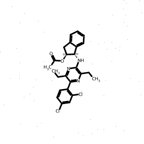 CCc1nc(-c2ccc(Cl)cc2Cl)c(CC)nc1N[C@H]1c2ccccc2C[C@@H]1OC(C)=O